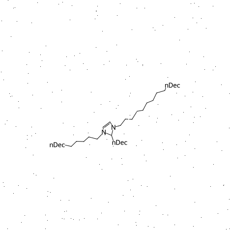 CCCCCCCCCCCCCCCCCCCN1C=CN(CCCCCCCCCCCCCCC)C1CCCCCCCCCC